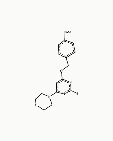 COc1ccc(COc2cc(N3CCOCC3)nc(I)n2)cc1